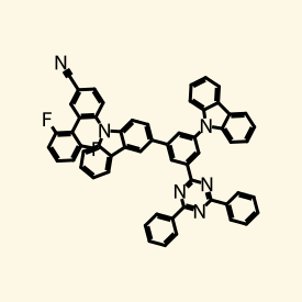 N#Cc1ccc(-n2c3ccccc3c3cc(-c4cc(-c5nc(-c6ccccc6)nc(-c6ccccc6)n5)cc(-n5c6ccccc6c6ccccc65)c4)ccc32)c(-c2c(F)cccc2F)c1